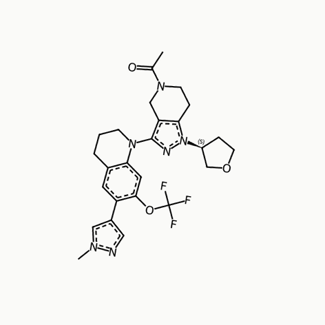 CC(=O)N1CCc2c(c(N3CCCc4cc(-c5cnn(C)c5)c(OC(F)(F)F)cc43)nn2[C@H]2CCOC2)C1